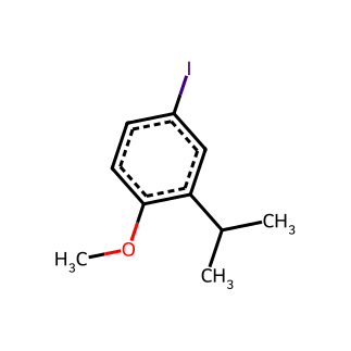 COc1ccc(I)cc1C(C)C